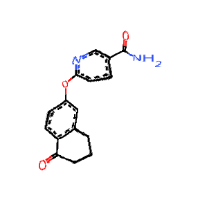 NC(=O)c1ccc(Oc2ccc3c(c2)CCCC3=O)nc1